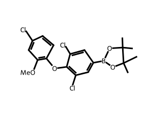 COc1cc(Cl)ccc1Oc1c(Cl)cc(B2OC(C)(C)C(C)(C)O2)cc1Cl